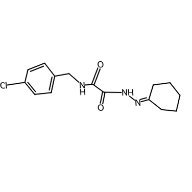 O=C(NCc1ccc(Cl)cc1)C(=O)NN=C1CCCCC1